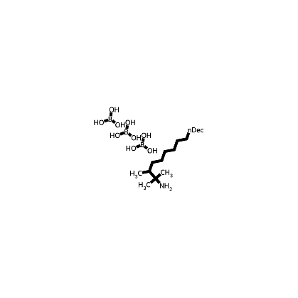 CCCCCCCCCCCCCCCCC(C)C(C)(C)N.OB(O)O.OB(O)O.OB(O)O